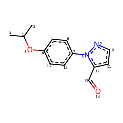 CC(C)Oc1ccc(-n2nccc2C=O)cc1